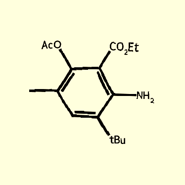 CCOC(=O)c1c(N)c(C(C)(C)C)cc(C)c1OC(C)=O